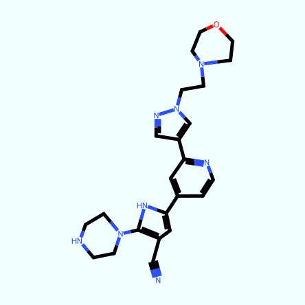 N#Cc1cc(-c2ccnc(-c3cnn(CCN4CCOCC4)c3)c2)[nH]c1N1CCNCC1